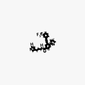 O=C(NCCCc1cn[nH]c1)c1ccc(-n2cccn2)c(C#Cc2cccc(C(F)(F)F)c2)c1